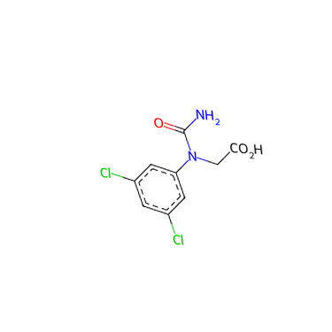 NC(=O)N(CC(=O)O)c1cc(Cl)cc(Cl)c1